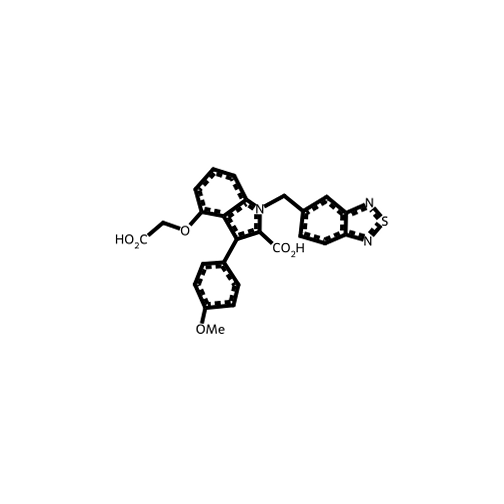 COc1ccc(-c2c(C(=O)O)n(Cc3ccc4nsnc4c3)c3cccc(OCC(=O)O)c23)cc1